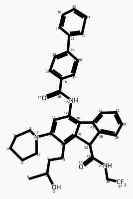 CC(O)CCc1c(N2CCCCC2)cc(NC(=O)c2ccc(-c3ccccc3)cc2)c2c1C(C(=O)NCC(F)(F)F)c1ccccc1-2